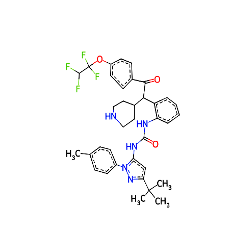 Cc1ccc(-n2nc(C(C)(C)C)cc2NC(=O)Nc2ccccc2C(C(=O)c2ccc(OC(F)(F)C(F)F)cc2)C2CCNCC2)cc1